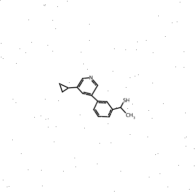 CC(S)c1cccc(-c2cncc(C3CC3)c2)c1